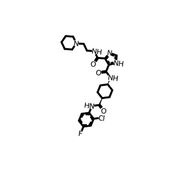 O=C(NCCN1CCCCC1)c1nc[nH]c1C(=O)N[C@H]1CC[C@H](C(=O)Nc2ccc(F)cc2Cl)CC1